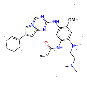 C=CC(=O)Nc1cc(Nc2ncn3cc(C4=CCCCC4)cc3n2)c(OC)cc1N(C)CCN(C)C